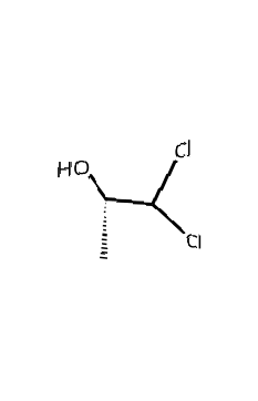 C[C@H](O)C(Cl)Cl